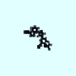 CC/C=C(\C=C(\C#N)COC(C)C)c1csc(-c2cccc3c2CCC3O)c1